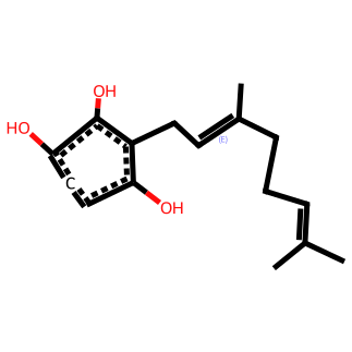 CC(C)=CCC/C(C)=C/Cc1c(O)ccc(O)c1O